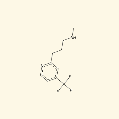 CNCCCc1cc(C(F)(F)F)ccn1